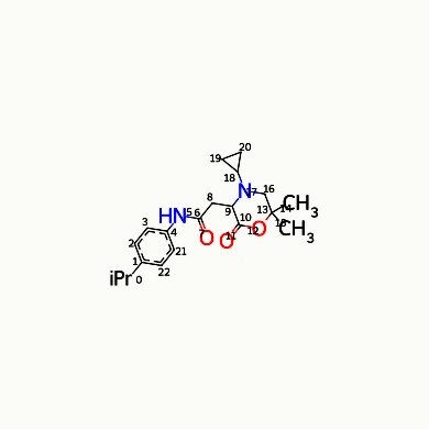 CC(C)c1ccc(NC(=O)CC2C(=O)OC(C)(C)CN2C2CC2)cc1